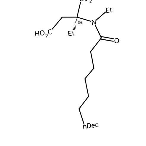 CCCCCCCCCCCCCCCC(=O)N(CC)[C@@](CC)(CC(=O)O)C(=O)O